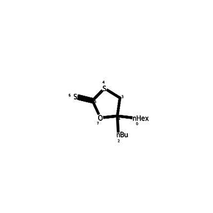 CCCCCCC1(CCCC)CSC(=S)O1